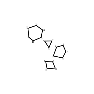 C1CCCC1.[CH]1CC1.[CH]1CCC1.[CH]1CCCCC1